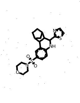 O=S(=O)(c1ccc2c(c1)C1C3CCC(C3)C1C(c1nccs1)N2)N1CCOCC1